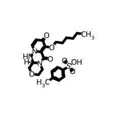 CCCCCCOc1c2n(ccc1=O)N[C@@H]1COCCN1C2=O.Cc1ccc(S(=O)(=O)O)cc1